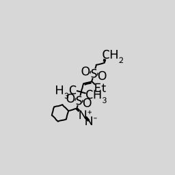 C=CCS(=O)(=O)C(=CC(C)(C)S(=O)(=O)C(=[N+]=[N-])C1CCCCC1)CC